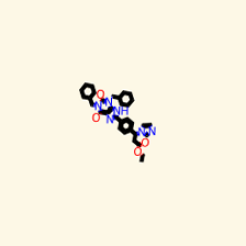 CCOC(=O)CC(c1ccc(-c2nc3c(=O)n(CC4CCCCC4)c(=O)n(CC4CCCCC4)c3[nH]2)cc1)n1ccnc1